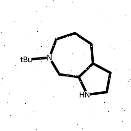 CC(C)(C)N1CCCC2CCNC2C1